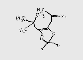 CC(C)C1=C(C(C)(C)C)OC(F)(F)O1